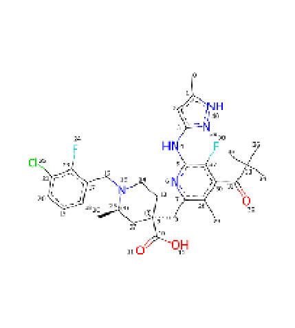 Cc1cc(Nc2nc(C[C@@]3(C(=O)O)CCN(Cc4cccc(Cl)c4F)[C@H](C)C3)c(C)c(C(=O)C(C)(C)C)c2F)n[nH]1